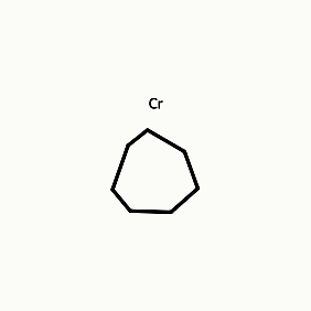 C1CCCCCC1.[Cr]